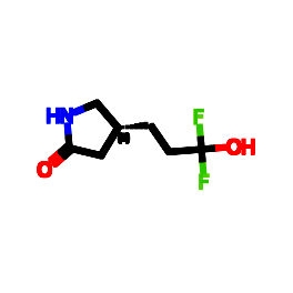 O=C1C[C@@H](CCC(O)(F)F)CN1